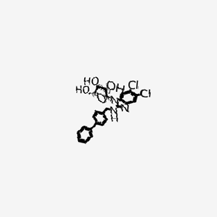 OC[C@H]1O[C@@H](n2c(NCc3ccc(-c4ccccc4)cc3)nc3cc(Cl)c(Cl)cc32)[C@H](O)[C@@H]1O